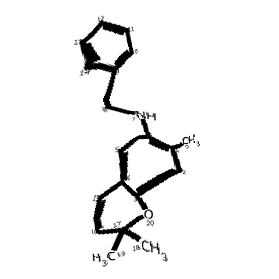 Cc1cc2c(cc1NCc1ccccc1)C=CC(C)(C)O2